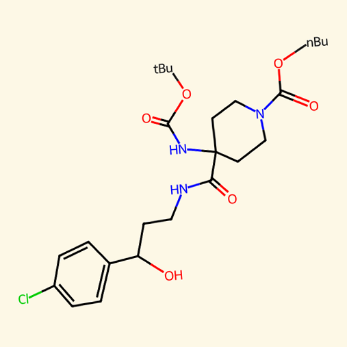 CCCCOC(=O)N1CCC(NC(=O)OC(C)(C)C)(C(=O)NCCC(O)c2ccc(Cl)cc2)CC1